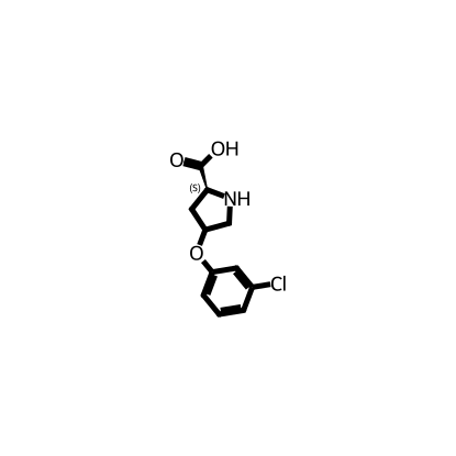 O=C(O)[C@@H]1CC(Oc2cccc(Cl)c2)CN1